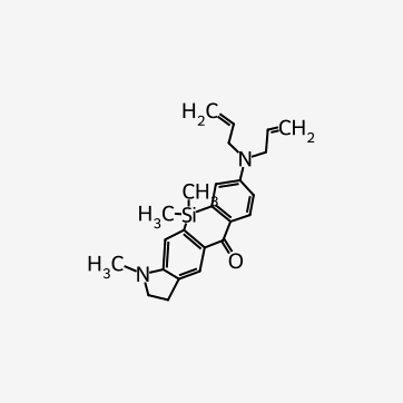 C=CCN(CC=C)c1ccc2c(c1)[Si](C)(C)c1cc3c(cc1C2=O)CCN3C